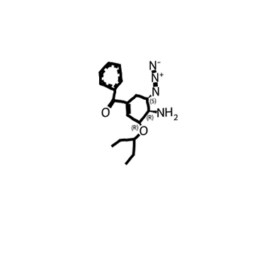 CCC(CC)O[C@@H]1C=C(C(=O)c2ccccc2)C[C@H](N=[N+]=[N-])[C@H]1N